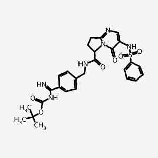 CC(C)(C)OC(=O)NC(=N)c1ccc(CNC(=O)C2CCc3ncc(NS(=O)(=O)c4ccccc4)c(=O)n32)cc1